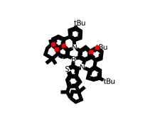 CC1c2cc3sc4c(c3cc2C2(C)CCC1C2)N(c1ccc(C(C)(C)C)cc1-c1ccccc1)c1cc(C(C)(C)C)cc2c1B4c1cc3c(cc1N2c1ccc(C(C)(C)C)cc1-c1ccccc1)C(C)(C)CCC3(C)C